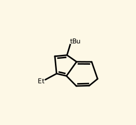 CCC1=C2C=CCC=C2C(C(C)(C)C)=C1